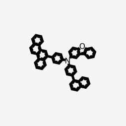 c1ccc2c(-c3ccc(N(c4ccc(-c5cc6c7ccccc7ccc6c6ccccc56)cc4)c4ccc5oc6ccccc6c5c4)cc3)cccc2c1